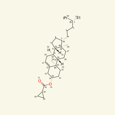 CC[C@H](CCC[C@H]1CC[C@H]2[C@@H]3CC=C4C[C@@H](OC(=O)C5CC5)CC[C@]4(C)[C@H]3CC[C@]12C)C(C)C